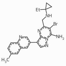 CCC1(NCc2nc3c(-c4cnc5ccc(C)cc5c4)cnn3c(N)c2Br)CC1